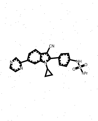 CCCS(=O)(=O)Nc1ccc(-c2c(C#N)c3ccc(-c4cnccn4)cc3n2C2CC2)cc1